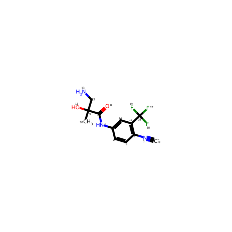 [C-]#[N+]c1ccc(NC(=O)C(C)(O)CN)cc1C(F)(F)F